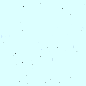 CCc1nc(-c2ccc(C(F)(F)F)cc2)cc(OCCC(C)C)c1C(=O)O